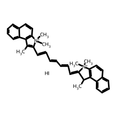 CC1=C(C=CC=CC=CC=C2C(C)c3c(ccc4ccccc34)[N+]2(C)C)[N+](C)(C)c2ccc3ccccc3c21.I